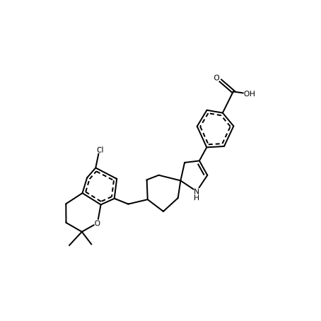 CC1(C)CCc2cc(Cl)cc(CC3CCC4(CC3)CC(c3ccc(C(=O)O)cc3)=CN4)c2O1